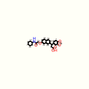 O=C(O)CC(c1ccc2c(c1)OCO2)c1ccc2ccc(OCC(=O)NC3CCCCC3)cc2c1